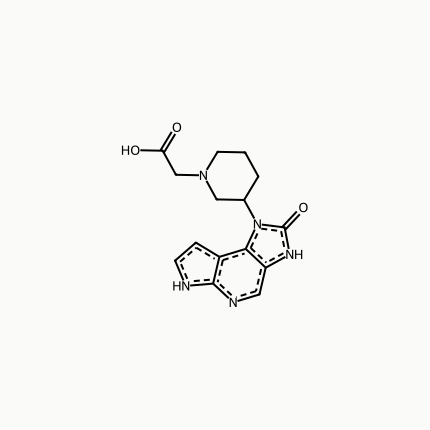 O=C(O)CN1CCCC(n2c(=O)[nH]c3cnc4[nH]ccc4c32)C1